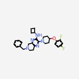 Fc1ccc(OC2CCN(c3nc4c(nc3NC3CCC3)CN(Cc3ccccc3)CC4)CC2)c(F)c1